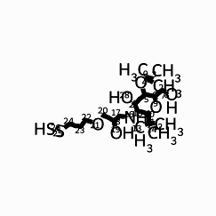 CC(C)(C)OC1C(CO)OC(C(C)(C)C)C(NCC(O)COCCCSS)C1O